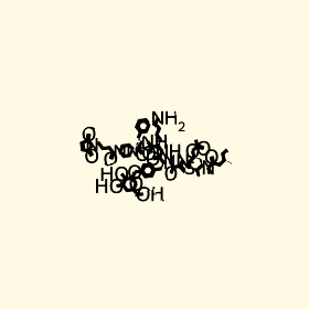 CC[C@H](C)CC(=O)N(C)[C@H](C[C@@H](OC(C)=O)c1nc(C(=O)N(C)[C@@H](Cc2ccc(OC3OC(CO)CC(O)C3O)cc2)C(=O)N[C@H](CCCCN)C(=O)N[C@@H](Cc2ccccc2)C(=O)N2CCN(C(=O)CCCN3C(=O)C=CC3=O)CC2)cs1)C(C)C